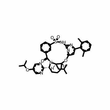 Cc1cccc(C)c1-c1cc2nc(n1)NS(=O)(=O)c1cccc(c1)C(=O)N1[C@@H](c3ncc(OC(C)C)cn3)CCC[C@@H](O2)[C@H]1CC(C)C